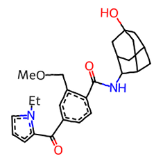 CCn1cccc1C(=O)c1ccc(C(=O)NC2C3CC4CC2CC(O)(C4)C3)c(COC)c1